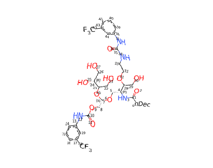 CCCCCCCCCCC(=O)N[C@H](CO[C@H](COC(=O)Nc1cccc(C(F)(F)F)c1)OC(CO)[C@H](O)CO)C(CO)OCCNC(=O)Nc1cccc(C(F)(F)F)c1